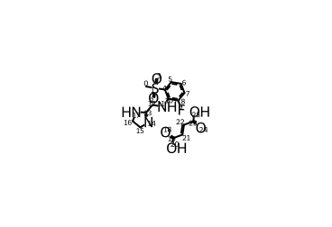 CS(=O)(=O)c1cccc(F)c1NCC1=NCCN1.O=C(O)C=CC(=O)O